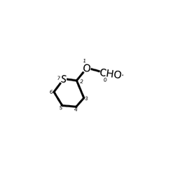 O=[C]OC1CCCCS1